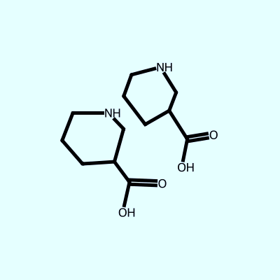 O=C(O)C1CCCNC1.O=C(O)C1CCCNC1